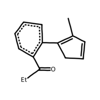 CCC(=O)c1ccccc1C1=C(C)C=CC1